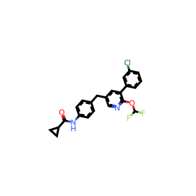 O=C(Nc1ccc(Cc2cnc(OC(F)F)c(-c3cccc(Cl)c3)c2)cc1)C1CC1